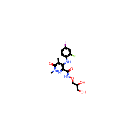 Cc1c(Nc2ccc(I)cc2F)c(C(=O)NOCC(O)CO)nn(C)c1=O